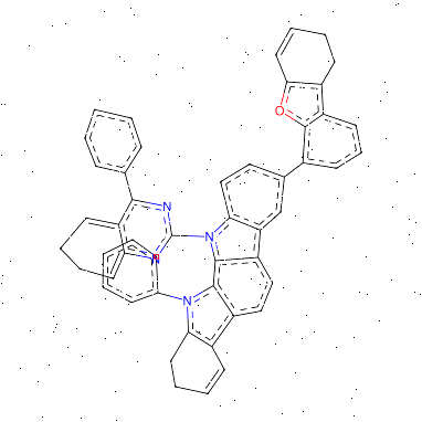 C1=Cc2oc3c(-c4ccc5c(c4)c4ccc6c7c(n(-c8ccccc8)c6c4n5-c4nc(-c5ccccc5)c5c(n4)=CCCC=5)CCC=C7)cccc3c2CC1